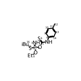 CCOP(=N)(OC(=S)Nc1ccc(C)cc1)SC(C)CC